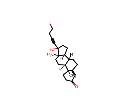 C[C@]12CCC(=O)C=C1CC[C@@H]1[C@@H]2CC[C@@]2(C)[C@H]1CC[C@@]2(O)C#CCCI